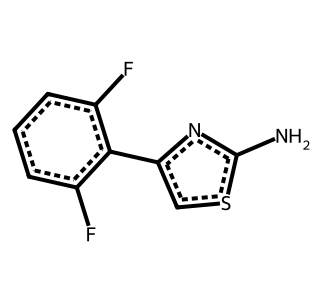 Nc1nc(-c2c(F)cccc2F)cs1